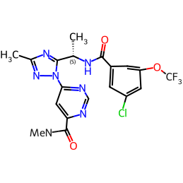 CNC(=O)c1cc(-n2nc(C)nc2[C@H](C)NC(=O)c2cc(Cl)cc(OC(F)(F)F)c2)ncn1